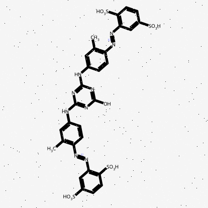 Cc1cc(Nc2nc(O)nc(Nc3ccc(/N=N/c4cc(S(=O)(=O)O)ccc4S(=O)(=O)O)c(C)c3)n2)ccc1/N=N/c1cc(S(=O)(=O)O)ccc1S(=O)(=O)O